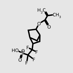 C=C(C)C(=O)OC1CC2CC1CC2C(F)(F)C(F)(F)S(=O)(=O)O